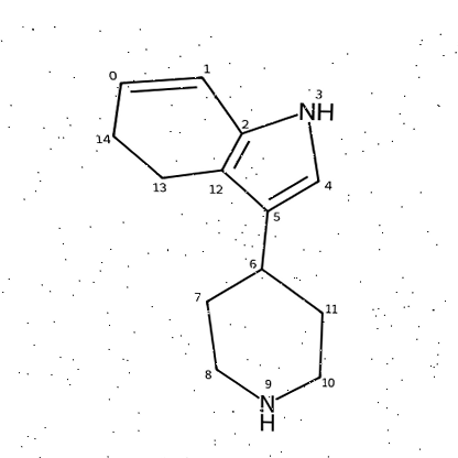 C1=Cc2[nH]cc(C3CCNCC3)c2CC1